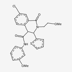 COCCN1C(=O)c2cc(Cl)ccc2C(C(=O)Nc2cccc(OC)c2)C1c1cccs1